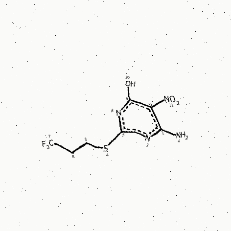 Nc1nc(SCCC(F)(F)F)nc(O)c1[N+](=O)[O-]